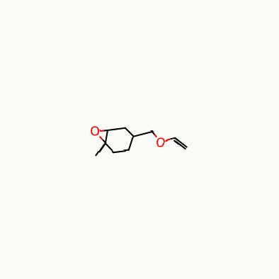 C=COCC1CCC2(C)OC2C1